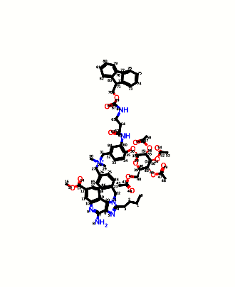 CCCCc1nc2c(N)nc3cc(C(=O)OC)ccc3c2n1Cc1ccc(C[N+](C)(C)Cc2ccc(O[C@H]3O[C@H](COC(C)=O)[C@@H](OC(C)=O)[C@H](OC(C)=O)[C@@H]3OC(C)=O)c(NC(=O)CCNC(=O)OCC3c4ccccc4-c4ccccc43)c2)cc1